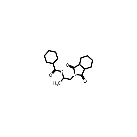 CC(CN1C(=O)C2CCCCC2C1=O)OC(=O)C1CCCCC1